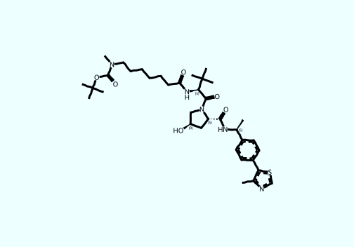 Cc1ncsc1-c1ccc([C@H](C)NC(=O)[C@@H]2C[C@@H](O)CN2C(=O)[C@@H](NC(=O)CCCCCCN(C)C(=O)OC(C)(C)C)C(C)(C)C)cc1